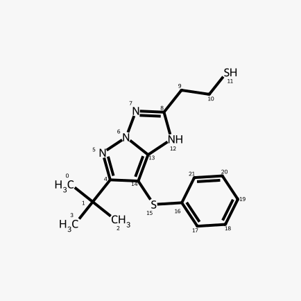 CC(C)(C)c1nn2nc(CCS)[nH]c2c1Sc1ccccc1